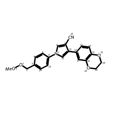 COOCc1ccc(-n2cc(C#N)c(-c3ccc4c(c3)OCCO4)c2)cc1